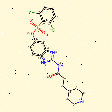 O=C(CCC1CCNCC1)Nc1nc2cc(OS(=O)(=O)c3c(Cl)cccc3Cl)ccc2[nH]1